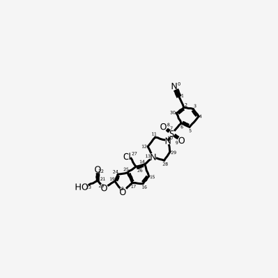 N#Cc1cccc(S(=O)(=O)N2CCN(c3ccc4oc(OC(=O)O)cc4c3Cl)CC2)c1